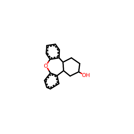 OC1CCC2c3ccccc3Oc3ccccc3C2C1